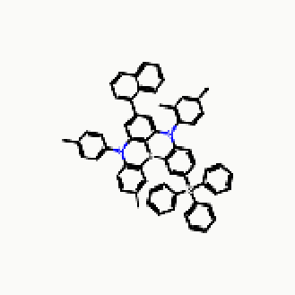 Cc1ccc(N2c3ccc(C)cc3B3c4cc([Si](c5ccccc5)(c5ccccc5)c5ccccc5)ccc4N(c4ccc(C)cc4C)c4cc(-c5cccc6ccccc56)cc2c43)cc1